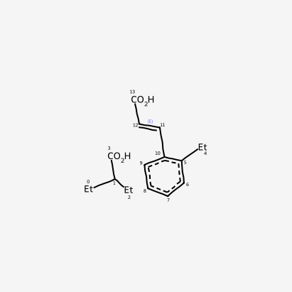 CCC(CC)C(=O)O.CCc1ccccc1/C=C/C(=O)O